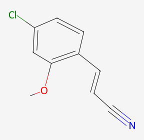 COc1cc(Cl)ccc1C=CC#N